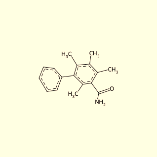 Cc1c(C)c(C(N)=O)c(C)c(-c2ccccc2)c1C